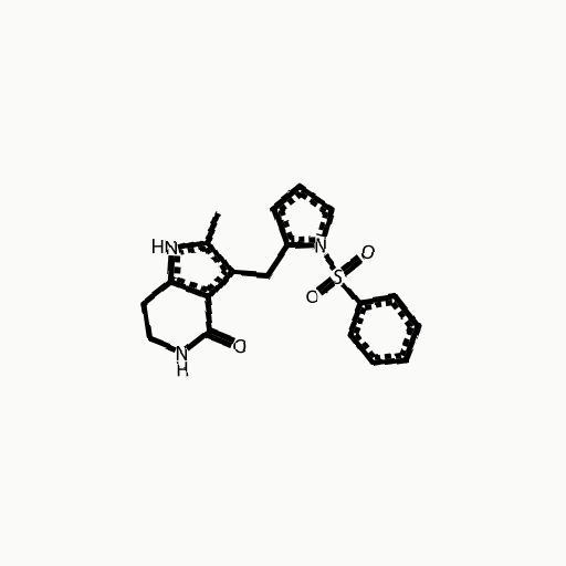 Cc1[nH]c2c(c1Cc1cccn1S(=O)(=O)c1ccccc1)C(=O)NCC2